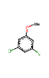 CC(C)(C)Oc1cc(Cl)cc(Cl)c1